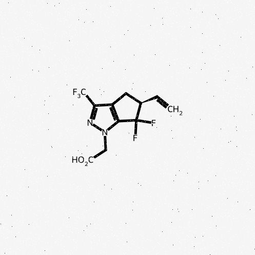 C=C[C@@H]1Cc2c(C(F)(F)F)nn(CC(=O)O)c2C1(F)F